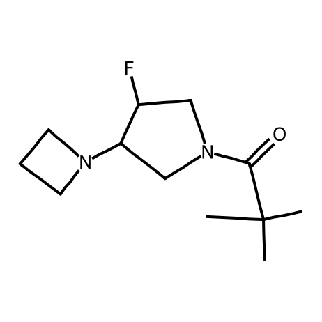 CC(C)(C)C(=O)N1CC(F)C(N2CCC2)C1